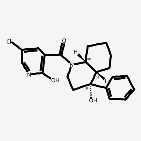 O=C(c1cc(Cl)cnc1O)N1CC[C@](O)(c2ccccc2)[C@H]2CCCC[C@H]21